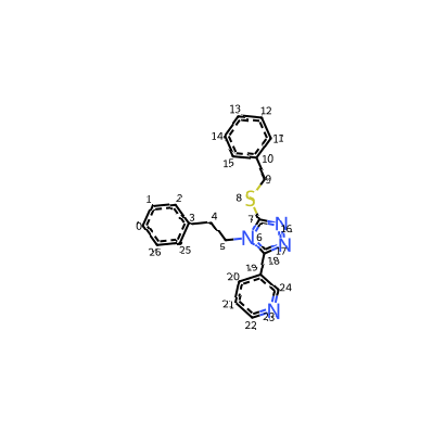 c1ccc(CCn2c(SCc3ccccc3)nnc2-c2cccnc2)cc1